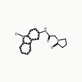 CCn1c2ccccc2c2cc(NC(=O)CN3CCCC3=O)ccc21